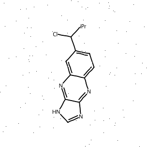 CC(C)C(Cl)c1ccc2nc3nc[nH]c3nc2c1